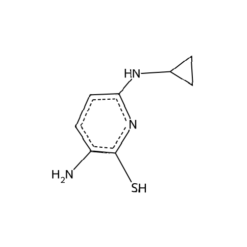 Nc1ccc(NC2CC2)nc1S